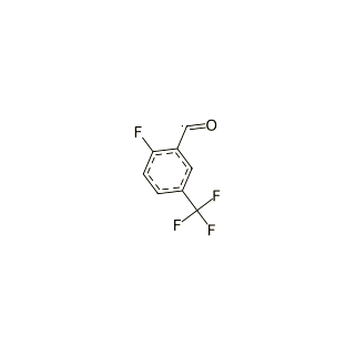 O=[C]c1cc(C(F)(F)F)ccc1F